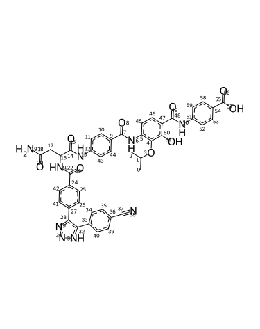 CC(C)Oc1c(NC(=O)c2ccc(NC(=O)C(CC(N)=O)NC(=O)c3ccc(-c4nn[nH]c4-c4ccc(C#N)cc4)cc3)cc2)ccc(C(=O)Nc2ccc(C(=O)O)cc2)c1O